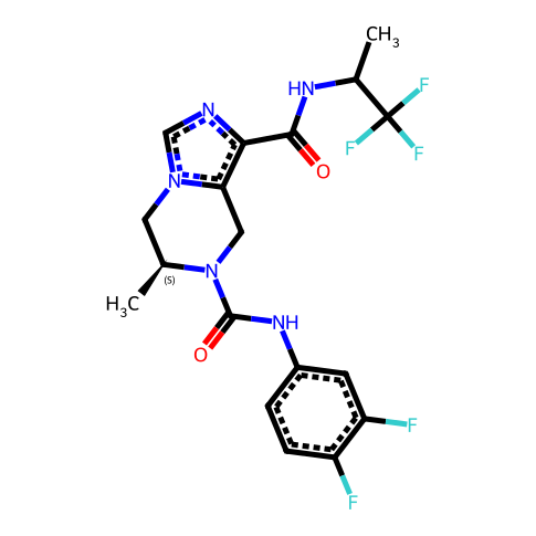 CC(NC(=O)c1ncn2c1CN(C(=O)Nc1ccc(F)c(F)c1)[C@@H](C)C2)C(F)(F)F